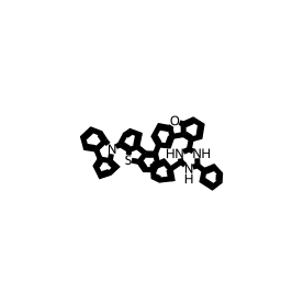 c1ccc(C2NC(c3ccccc3)NC(c3cccc4oc5ccc(-c6cccc7sc8c(-n9c%10ccccc%10c%10ccccc%109)cccc8c67)cc5c34)N2)cc1